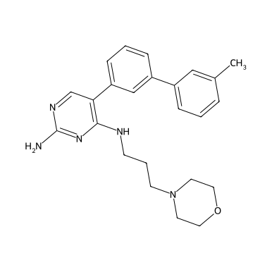 Cc1cccc(-c2cccc(-c3cnc(N)nc3NCCCN3CCOCC3)c2)c1